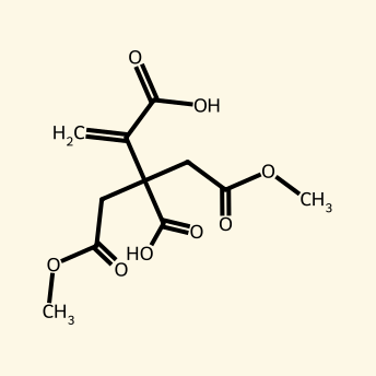 C=C(C(=O)O)C(CC(=O)OC)(CC(=O)OC)C(=O)O